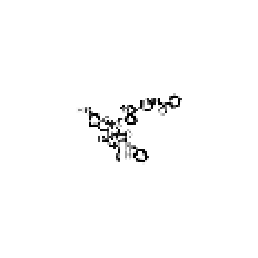 C=CCN1CC(=O)N2[C@@H](Cc3ccc(O)cc3)C(=O)N(Cc3cccc4c(-c5ccc(NC(=O)c6ccccc6)cc5)cn(C)c34)C[C@@H]2N1C(=O)NCc1ccccc1